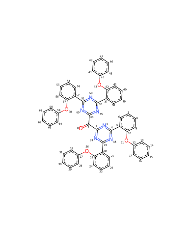 O=C(c1nc(-c2ccccc2Oc2ccccc2)nc(-c2ccccc2Oc2ccccc2)n1)c1nc(-c2ccccc2Oc2ccccc2)nc(-c2ccccc2Oc2ccccc2)n1